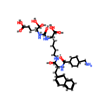 NCC1CCC(C(=O)N[C@@H](Cc2ccc3ccccc3c2)C(=O)NCCCC[C@H](NC(=O)N[C@H](CCC(=O)O)C(=O)O)C(=O)O)CC1